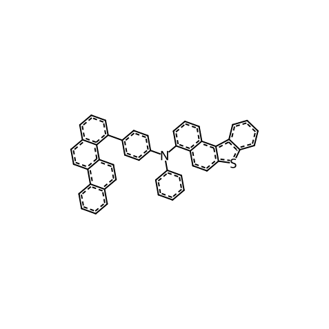 c1ccc(N(c2ccc(-c3cccc4ccc5c6ccccc6ccc5c34)cc2)c2cccc3c2ccc2sc4ccccc4c23)cc1